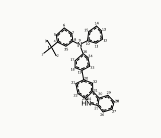 CC(C)(C)c1cccc(N(c2ccccc2)c2ccc(-c3ccc4[nH]c5ccccc5c4c3)cc2)c1